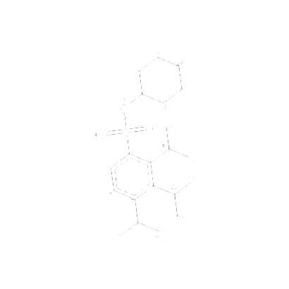 CC(C)c1ccc(S(=O)(=O)OC2CCCCC2)c(C(C)C)c1C(C)C